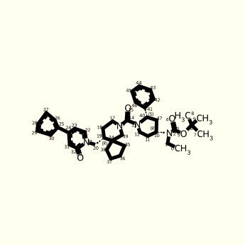 CCN(C(=O)OC(C)(C)C)[C@@H]1CCN(C(=O)N2CC[C@@H](Cn3ccc(-c4ccccc4)cc3=O)C3(CCCC3)C2)[C@H](c2ccccc2)C1